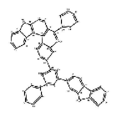 c1ccc(-c2cc(-c3ccc4c(c3)oc3ccccc34)nc(-c3ccc4c(c3)nc(-c3ccccc3)c3ccc5sc6ccccc6c5c34)n2)cc1